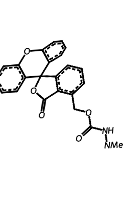 CNNC(=O)OCc1cccc2c1C(=O)OC21c2ccccc2Oc2ccccc21